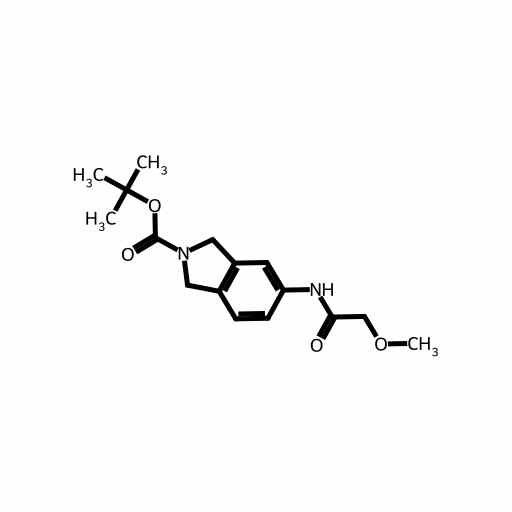 COCC(=O)Nc1ccc2c(c1)CN(C(=O)OC(C)(C)C)C2